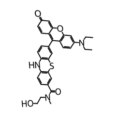 CCN(CC)c1ccc2c(-c3ccc4c(c3)Sc3cc(C(=O)N(C)CCO)ccc3N4)c3ccc(=O)cc-3oc2c1